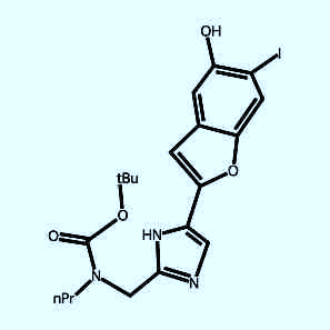 CCCN(Cc1ncc(-c2cc3cc(O)c(I)cc3o2)[nH]1)C(=O)OC(C)(C)C